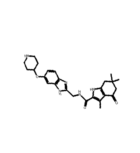 Cc1c(C(=O)NCc2nc3ccc(OC4CCNCC4)cc3[nH]2)[nH]c2c1C(=O)CC(C)(C)C2